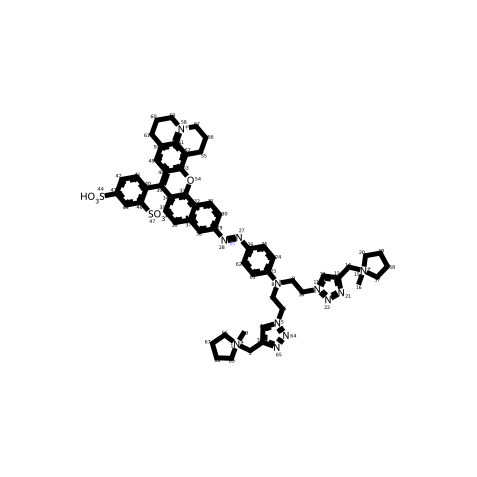 C[N+]1(Cc2cn(CCN(CCn3cc(C[N+]4(C)CCCC4)nn3)c3ccc(/N=N/c4ccc5c6c(ccc5c4)C(c4ccc(S(=O)(=O)O)cc4S(=O)(=O)O)=c4cc5c7c(c4O6)CCC[N+]=7CCC5)cc3)nn2)CCCC1